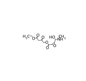 CCOC(=O)CC(=O)COC(=O)C1OC1C(O)NC